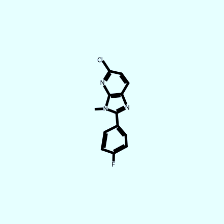 Cn1c(-c2ccc(F)cc2)nc2ccc(Cl)nc21